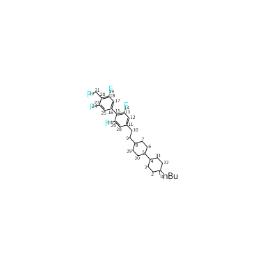 CCCCC1CCC(C2CCC(CCc3cc(F)c(-c4cc(F)c(CF)c(F)c4)c(F)c3)CC2)CC1